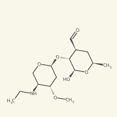 CCN[C@H]1CO[C@@H](O[C@H]2[C@H](O)O[C@H](C)C[C@@H]2C=O)C[C@@H]1OC